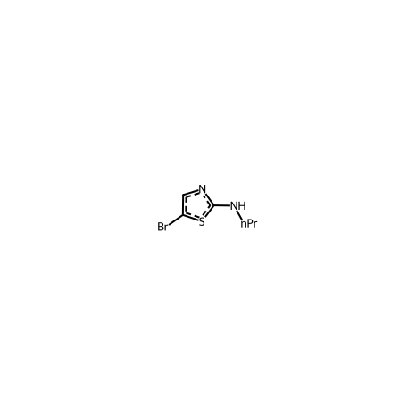 CCCNc1ncc(Br)s1